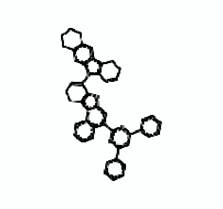 C1=Cc2c(c3cc4c(cc3n2C2=CCCc3c2sc2cc(-c5nc(-c6ccccc6)cc(-c6ccccc6)n5)c5ccccc5c32)CCCC4)CC1